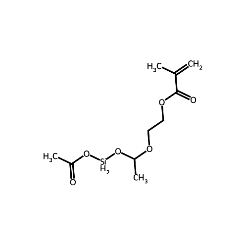 C=C(C)C(=O)OCCOC(C)O[SiH2]OC(C)=O